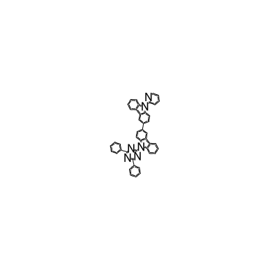 c1ccc(-c2nc(-c3ccccc3)nc(-n3c4ccccc4c4cc(-c5ccc6c(c5)c5ccccc5n6-c5ccccn5)ccc43)n2)cc1